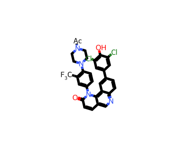 CC(=O)N1CCN(c2ccc(-n3c(=O)ccc4cnc5ccc(-c6cc(Cl)c(O)c(Cl)c6)cc5c43)cc2C(F)(F)F)CC1